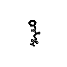 CN(C)S(=O)(=O)OCC(=O)NCc1ccccc1